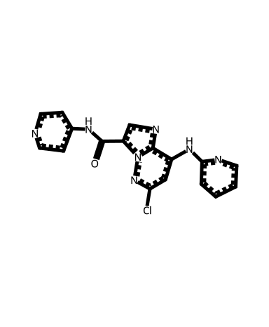 O=C(Nc1ccncc1)c1cnc2c(Nc3ccccn3)cc(Cl)nn12